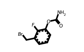 NC(=O)Oc1cccc(CBr)c1F